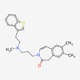 Cc1cc2c(cc1C)CC(=O)N(CCCN(C)CCc1csc3ccccc13)C=C2